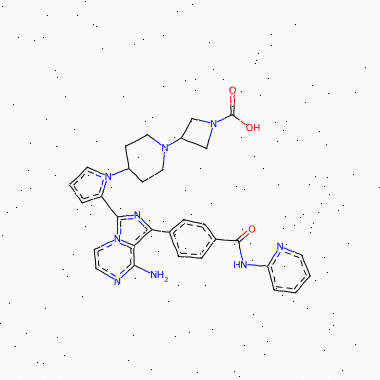 Nc1nccn2c(-c3cccn3C3CCN(C4CN(C(=O)O)C4)CC3)nc(-c3ccc(C(=O)Nc4ccccn4)cc3)c12